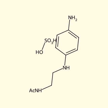 CC(=O)NCCNc1ccc(N)cc1.O=S(=O)(O)O